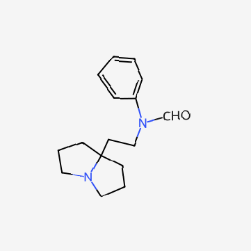 O=CN(CCC12CCCN1CCC2)c1ccccc1